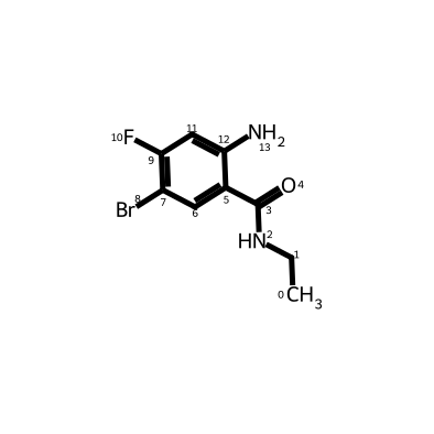 CCNC(=O)c1cc(Br)c(F)cc1N